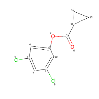 O=C(Oc1cc(Cl)cc(Cl)c1)C1CC1